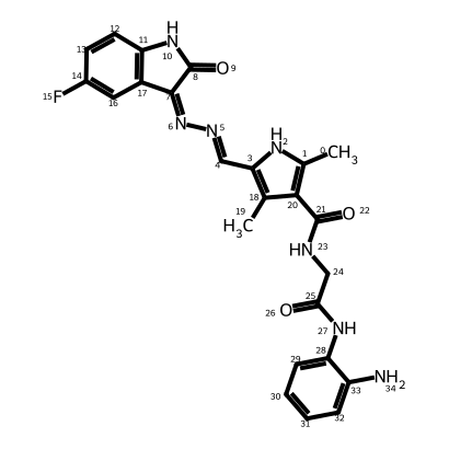 Cc1[nH]c(C=NN=C2C(=O)Nc3ccc(F)cc32)c(C)c1C(=O)NCC(=O)Nc1ccccc1N